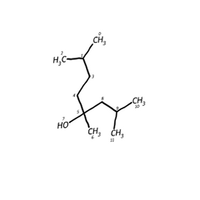 CC(C)CCC(C)(O)CC(C)C